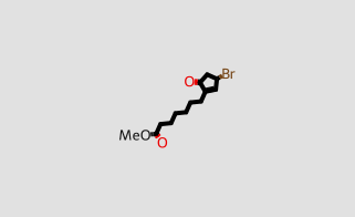 COC(=O)CCCCCCC1=CC(Br)CC1=O